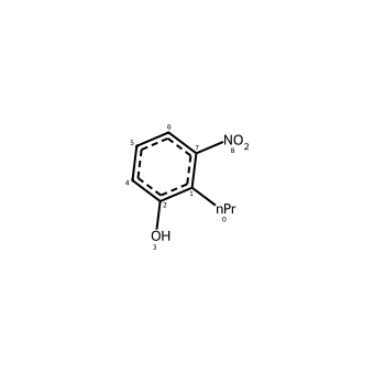 CCCc1c(O)cccc1[N+](=O)[O-]